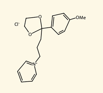 COc1ccc(C2(CCC[n+]3ccccc3)OCCO2)cc1.[Cl-]